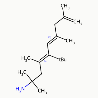 C=C(C)C/C(C)=C/C(=C(\C)CC(C)(C)N)C(C)(C)C